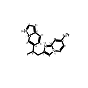 CC(C)c1ccn2cc(CC(C)c3ccc4ccnn4c3)nc2c1